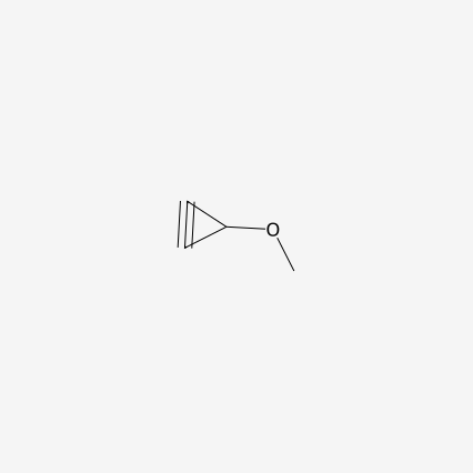 COC1C#C1